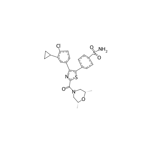 C[C@@H]1CN(C(=O)c2nc(-c3ccc(Cl)c(C4CC4)c3)c(-c3ccc(S(N)(=O)=O)cc3)s2)C[C@H](C)O1